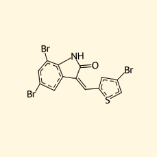 O=C1Nc2c(Br)cc(Br)cc2C1=Cc1cc(Br)cs1